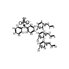 C=CC[n+]1ccn(C)c1.C=CC[n+]1ccn(C)c1.C=CC[n+]1ccn(C)c1.[O-]P([O-])([S-])=S(c1ccccc1)c1ccccc1